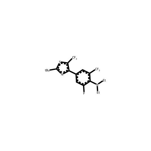 CCN(CC)c1c(F)cc(-c2nc(C(C)(C)C)sc2C(F)(F)F)cc1C(F)(F)F